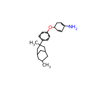 CC1CC2CC(C1)CC(C)(c1ccc(OC3C=CC(N)=CC3)cc1)C2